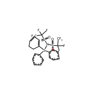 O=S(=O)(N(S(C1=CC=CCC1)(c1ccccc1)c1ccccc1)S(=O)(=O)C(F)(F)C(F)(F)F)C(F)(F)C(F)(F)F